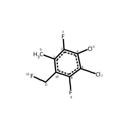 Cc1c(F)c(Cl)c(Cl)c(F)c1CF